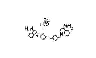 Nc1cc[n+](Cc2ccc(CCc3ccc(C[n+]4ccc(N)c5ccccc54)cc3)cc2)c2ccccc12.O.[Br-].[Br-]